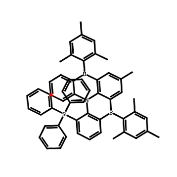 Cc1cc(C)c(B2c3ccccc3N3c4c2cc(C)cc4B(c2c(C)cc(C)cc2C)c2cccc([Si](c4ccccc4)(c4ccccc4)c4ccccc4)c23)c(C)c1